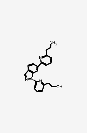 NCCc1cccc(-c2ccc3cnn(-c4cccc(CCO)n4)c3c2)n1